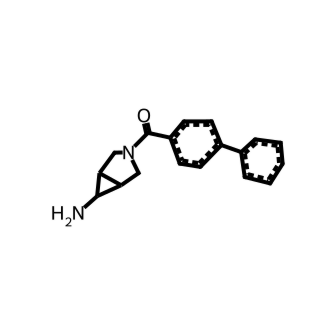 NC1C2CN(C(=O)c3ccc(-c4ccccc4)cc3)CC12